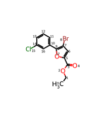 CCOC(=O)c1cc(Br)c(-c2cccc(Cl)c2)o1